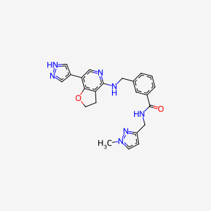 Cn1ccc(CNC(=O)c2cccc(CNc3ncc(-c4cn[nH]c4)c4c3CCO4)c2)n1